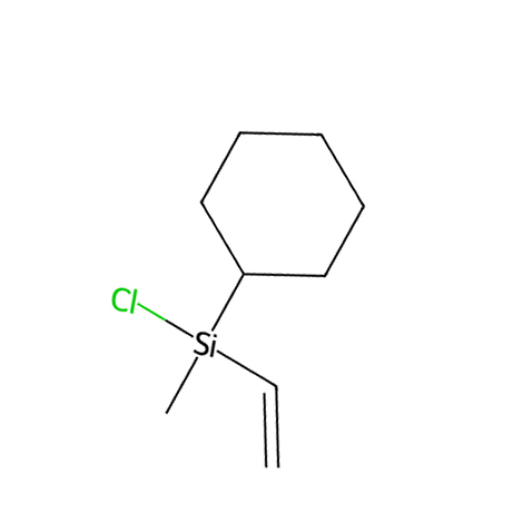 C=C[Si](C)(Cl)C1CCCCC1